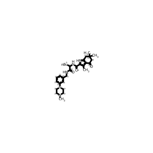 CCCCC(NC(=O)c1[nH]c2c(c1C)C(=O)CC(C)(C)C2)C(=O)NCc1cccc(N2CCN(C)CC2)c1